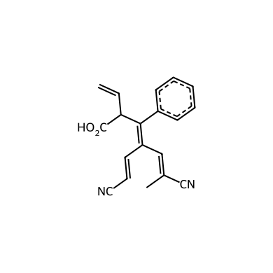 C=CC(C(=O)O)C(=C(C=CC#N)C=C(C)C#N)c1ccccc1